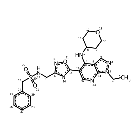 CCn1ncc2c(NC3CCOCC3)c(-c3nc(CNS(=O)(=O)Cc4ccccc4)no3)cnc21